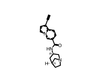 C#Cc1ccn2cc(C(=O)N[C@@H]3C[C@@H]4CCN(C4)C3)ccc12